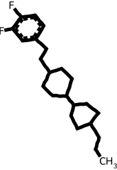 CCCC1CCC(C2CCC(CCc3ccc(F)c(F)c3)CC2)CC1